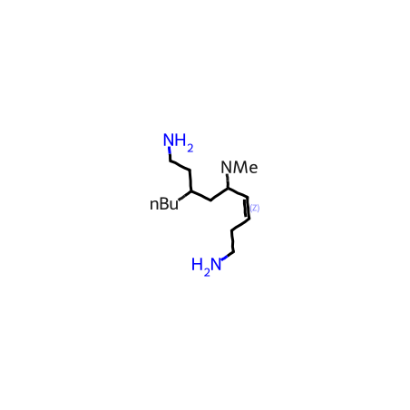 CCCCC(CCN)CC(/C=C\CCN)NC